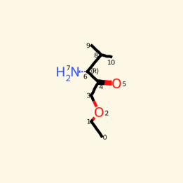 CCOCC(=O)[C@H](N)C(C)C